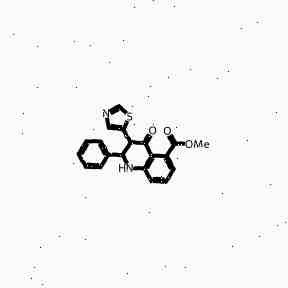 COC(=O)c1cccc2c1C(=O)C(c1cncs1)C(c1ccccc1)N2